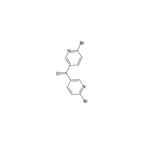 O=C(c1ccc(Br)nc1)c1ccc(Br)nc1